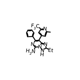 CCC1N=C2C(c3cc(C)nc(C(F)(F)F)c3)=C(c3ccccc3)N=C(N)N2N1